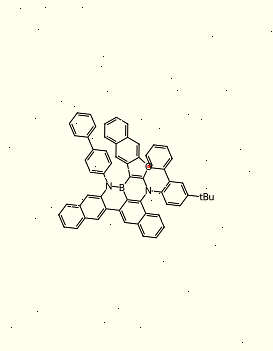 CC(C)(C)c1ccc(N2c3oc4cc5ccccc5cc4c3B3c4c(cc5ccccc5c42)-c2cc4ccccc4cc2N3c2ccc(-c3ccccc3)cc2)c(-c2ccccc2)c1